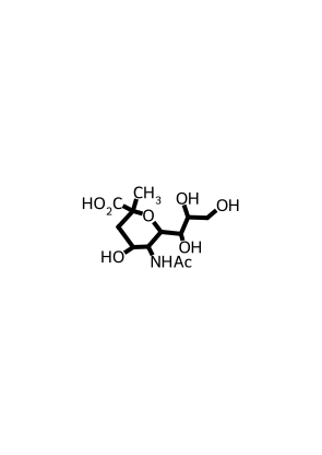 CC(=O)NC1C(O)CC(C)(C(=O)O)OC1C(O)C(O)CO